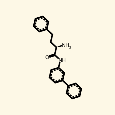 N[C@H](CCc1ccccc1)C(=O)Nc1cccc(-c2ccccc2)c1